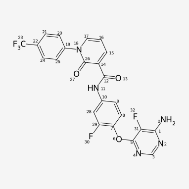 Nc1ncnc(Oc2ccc(NC(=O)c3cccn(-c4ccc(C(F)(F)F)cc4)c3=O)cc2F)c1F